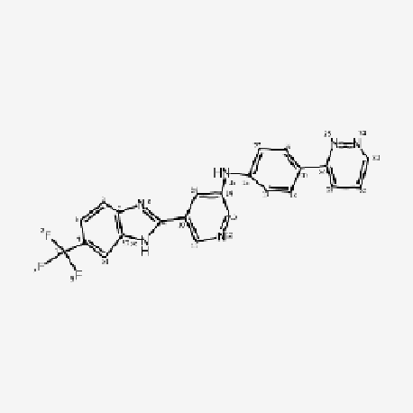 FC(F)(F)c1ccc2nc(-c3cncc(Nc4ccc(-c5cccnn5)cc4)c3)[nH]c2c1